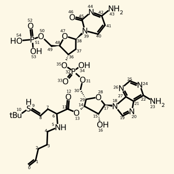 C=CCCCNC(CC=[SH]C(C)(C)C)C(=O)O[C@H]1[C@@H](O)[C@H](n2cnc3c(N)ncnc32)O[C@H]1COP(=O)(O)O[C@H]1C[C@H](n2ccc(N)nc2=O)O[C@@H]1COP(=O)(O)O